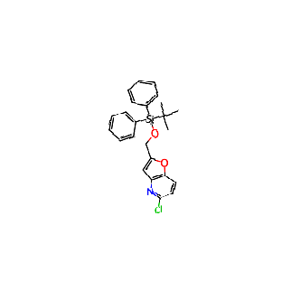 CC(C)(C)[Si](OCc1cc2nc(Cl)ccc2o1)(c1ccccc1)c1ccccc1